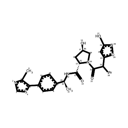 Cc1ncsc1-c1ccc([C@H](C)NC(=O)[C@@H]2C[C@@H](O)CN2C(=O)C(c2cc(O)no2)C(C)C)cc1